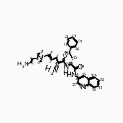 C[N+](C)(CCN)CCC[C@@H](N)C(=O)N[C@H](CCc1ccccc1)C(=O)Nc1cnc2ccccc2c1